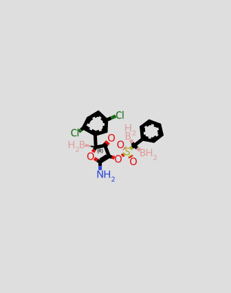 BC(B)(c1ccccc1)S(=O)(=O)OC1=C(N)O[C@](B)(c2cc(Cl)ccc2Cl)C1=O